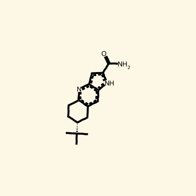 CC(C)(C)[C@@H]1CCc2nc3cc(C(N)=O)[nH]c3cc2C1